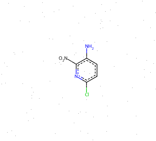 Nc1ccc(Cl)nc1[N+](=O)[O-]